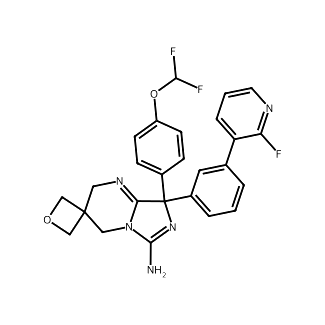 NC1=NC(c2ccc(OC(F)F)cc2)(c2cccc(-c3cccnc3F)c2)C2=NCC3(COC3)CN12